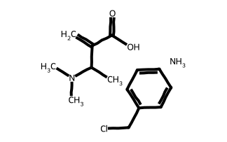 C=C(C(=O)O)C(C)N(C)C.ClCc1ccccc1.N